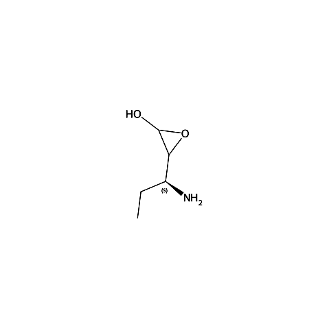 CC[C@H](N)C1OC1O